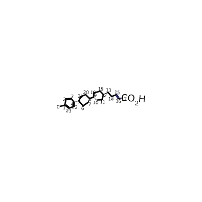 Cc1ccc([C@H]2CC[C@H]([C@H]3CC[C@H](CC/C=C/C(=O)O)CC3)CC2)cc1